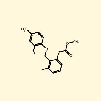 COC(=O)Oc1cccc(F)c1COc1ccc(C)cc1Cl